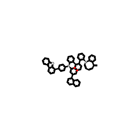 C=C1/C=C\C=C/N(c2ccccc2-c2ccccc2-c2ccccc2N(c2ccc(-c3cccc4c3oc3ccccc34)cc2)c2cccc(-c3cccc4ccccc34)c2)c2ccccc21